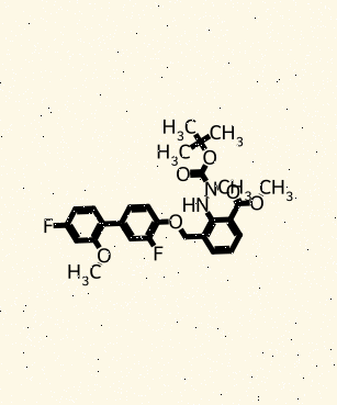 COC(=O)c1cccc(COc2ccc(-c3ccc(F)cc3OC)cc2F)c1NN(C)C(=O)OC(C)(C)C